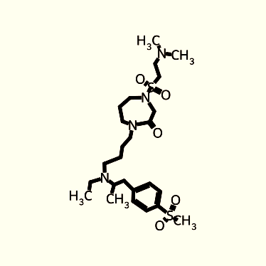 CCN(CCCCN1CCCN(S(=O)(=O)CCN(C)C)CC1=O)C(C)Cc1ccc(S(C)(=O)=O)cc1